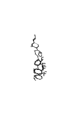 CCCC1CCC(C2CCC(c3ccc(-c4ccc(OCC)c(F)c4F)c(F)c3F)OC2)CC1